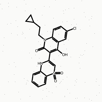 O=c1c(C2=CS(=O)(=O)c3ccccc3N2)c(O)c2cc(Cl)ccc2n1CCC1CC1